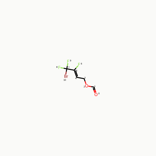 O=[C]OC/C=C(\F)C(F)(F)Br